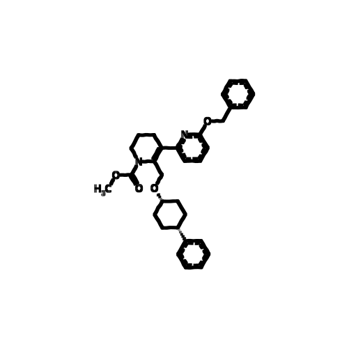 COC(=O)N1CCCC(c2cccc(OCc3ccccc3)n2)=C1CO[C@H]1CC[C@@H](c2ccccc2)CC1